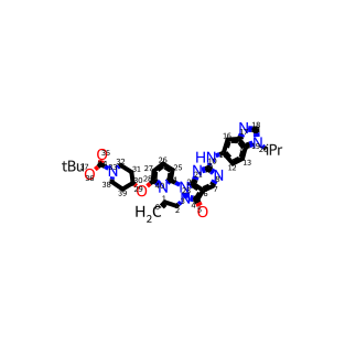 C=CCn1c(=O)c2cnc(Nc3ccc4c(c3)ncn4C(C)C)nc2n1-c1cccc(OC2CCN(C(=O)OC(C)(C)C)CC2)n1